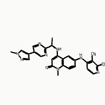 CC(Nc1cc(=O)n(C)c2ccc(Nc3ccnc(Cl)c3C#N)cc12)c1ncc(-c2cnn(C)c2)cn1